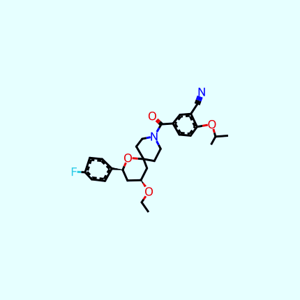 CCO[C@H]1C[C@@H](c2ccc(F)cc2)OC2(CCN(C(=O)c3ccc(OC(C)C)c(C#N)c3)CC2)C1